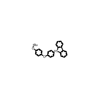 CC(C)(C)Oc1ccc(Oc2ccc([SH]3c4ccccc4-c4ccccc43)cc2)cc1